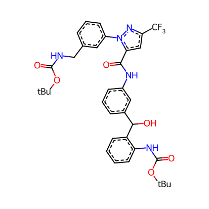 CC(C)(C)OC(=O)NCc1cccc(-n2nc(C(F)(F)F)cc2C(=O)Nc2cccc(C(O)c3ccccc3NC(=O)OC(C)(C)C)c2)c1